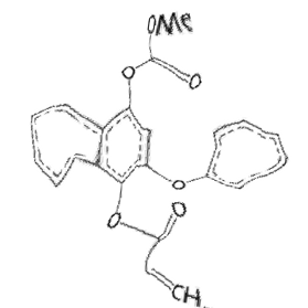 C=CC(=O)Oc1c(Oc2ccccc2)cc(OC(=O)OC)c2ccccc12